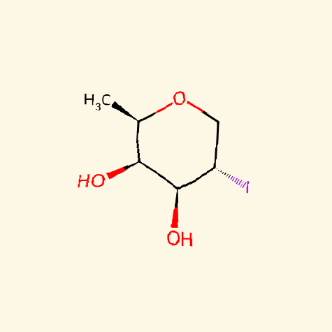 C[C@H]1OC[C@H](I)[C@@H](O)[C@H]1O